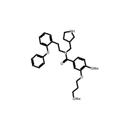 COCCCOc1cc(C(=O)N(CCc2ccccc2Oc2ccccc2)CC2CCNC2)ccc1OC